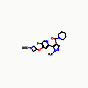 Cn1ncc(C(=O)N2CCCCC2)c1-c1cc(OC2CN(C=O)C2)c(F)cn1